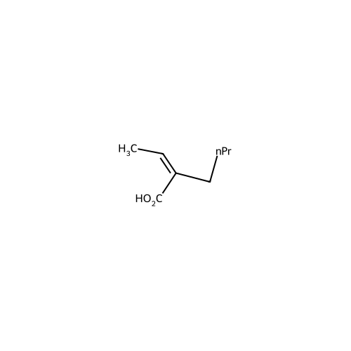 CC=C(CCCC)C(=O)O